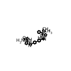 CCN(CC)[C@@H](C(=O)N1CCC[C@H]1c1ncc(-c2ccc(-c3ccc(-c4cnc([C@@H]5CCCN5C(=O)C5(OC(N)=O)CCC5)[nH]4)cc3)cc2)[nH]1)c1ccccc1